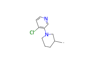 [CH2]C1CCCN(c2cnccc2Cl)C1